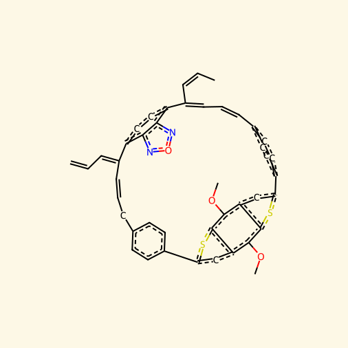 C=C/C=C1\C=C/Cc2ccc(cc2)-c2cc3c(OC)c4sc(cc4c(OC)c3s2)-c2ccc(cc2)\C=C/C=C(\C=C/C)c2ccc1c1nonc21